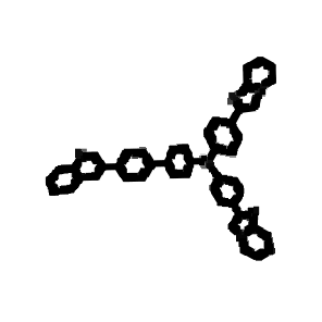 c1ccc2ncc(-c3ccc(-c4ccc(N(c5ccc(-c6cn7ccccc7n6)cc5)c5ccc(-c6cn7ccccc7n6)cc5)cc4)cc3)cc2c1